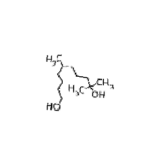 CC(CCCCO)CCCC(C)(C)O